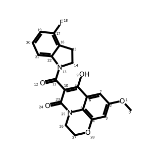 COc1cc2c3c(c1)c(O)c(C(=O)N1CCc4c(F)cccc41)c(=O)n3CCO2